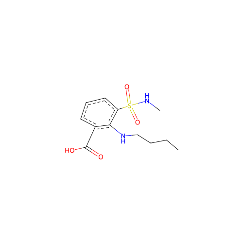 CCCCNc1c(C(=O)O)cccc1S(=O)(=O)NC